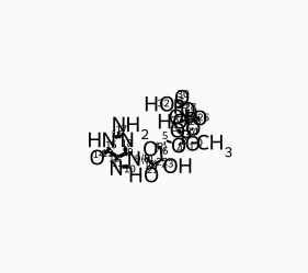 COP(=O)(OC[C@H]1O[C@@H](n2cnc3c(=O)[nH]c(N)nc32)[C@@H](O)C1O)OP(=O)(O)OP(=O)(O)O